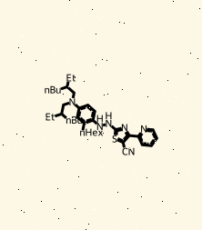 CCCCCCc1cc(N(CC(CC)CCCC)CC(CC)CCCC)ccc1NNc1nc(-c2ccccn2)c(C#N)s1